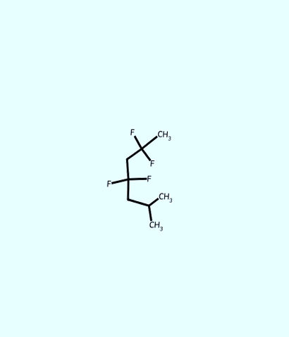 CC(C)CC(F)(F)CC(C)(F)F